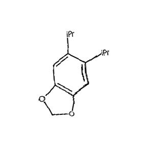 CC(C)c1cc2c(cc1C(C)C)OCO2